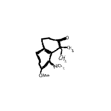 COc1ccc2c(c1[N+](=O)[O-])C(C)(C)C(=O)CC2